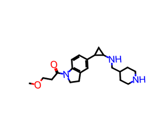 COCCC(=O)N1CCc2cc(C3CC3NCC3CCNCC3)ccc21